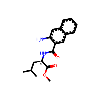 COC(=O)[C@@H](CC(C)C)NC(=O)c1cc2ccccc2cc1N